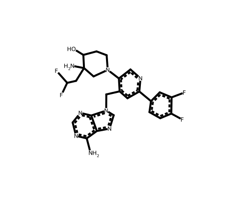 Nc1ncnc2c1ncn2Cc1cc(-c2ccc(F)c(F)c2)ncc1N1CCC(O)C(N)(CC(F)F)C1